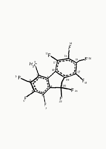 Cc1c(F)c(F)c(F)c2c1-c1c(F)c(F)c(F)c(F)c1C2(F)F